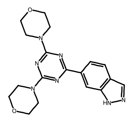 c1cc2cn[nH]c2cc1-c1nc(N2CCOCC2)nc(N2CCOCC2)n1